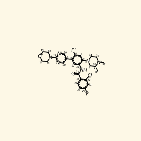 C[C@H]1CN(c2cc(F)c(-c3cnc(N4CCOCC4)nc3)cc2NC(=O)c2ccc(F)cc2Cl)CCN1C